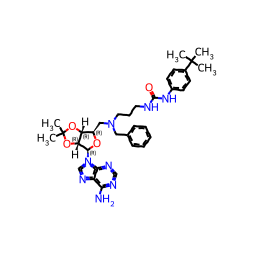 CC1(C)O[C@@H]2[C@H](O1)[C@@H](CN(CCCNC(=O)Nc1ccc(C(C)(C)C)cc1)Cc1ccccc1)O[C@H]2n1cnc2c(N)ncnc21